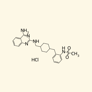 CS(=O)(=O)Nc1ccccc1CC1CCC(CNc2nc(N)c3ccccc3n2)CC1.Cl